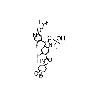 C[C@H](n1c(=O)n(-c2cc(OCC(F)F)ncc2F)c2cc(F)c(C(=O)NC3(C)CCS(=O)(=O)CC3)cc21)C(C)(C)O